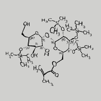 C=C(C)C(=O)OC[C@H]1O[C@H](O[C@H]2O[C@H](CO)[C@@H](O[Si](C)(C)C)[C@H](O)[C@H]2O)[C@H](O[Si](C)(C)C)[C@@H](O[Si](C)(C)C)[C@@H]1O[Si](C)(C)C